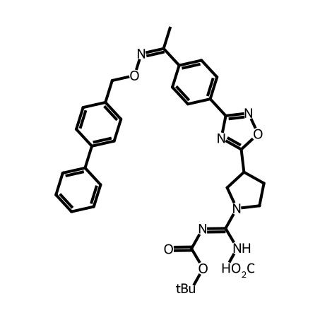 CC(=NOCc1ccc(-c2ccccc2)cc1)c1ccc(-c2noc(C3CCN(C(=NC(=O)OC(C)(C)C)NC(=O)O)C3)n2)cc1